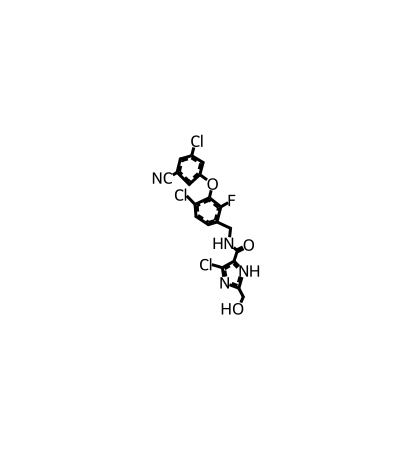 N#Cc1cc(Cl)cc(Oc2c(Cl)ccc(CNC(=O)c3[nH]c(CO)nc3Cl)c2F)c1